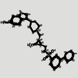 C=C1[C@H](CNS(=O)(=O)c2cccc(-c3ccccc3)c2)[C@H]1CN1CCC(c2noc3cc(F)ccc23)CC1